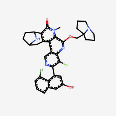 Cn1c(=O)c2c(c3c4cnc(-c5cc(O)cc6cccc(Cl)c56)c(F)c4nc(OCC45CCCN4CCC5)c31)CC1CCC2N1